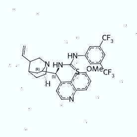 C=CC1CN2CCC1C[C@@H]2[C@@H](NC(=S)Nc1cc(C(F)(F)F)cc(C(F)(F)F)c1)c1ccnc2ccc(OC)cc12